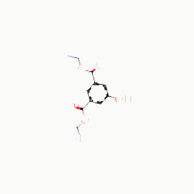 O=C(OCI)c1cc(O)cc(C(=O)OCI)c1